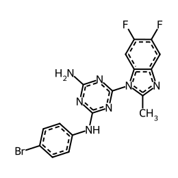 Cc1nc2cc(F)c(F)cc2n1-c1nc(N)nc(Nc2ccc(Br)cc2)n1